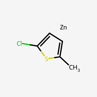 Cc1ccc(Cl)s1.[Zn]